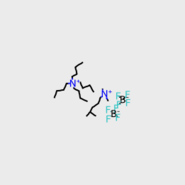 CC(C)CCC[N+](C)(C)C.CCCC[N+](CCCC)(CCCC)CCCC.F[B-](F)(F)F.F[B-](F)(F)F